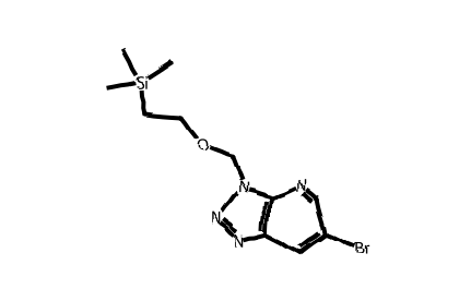 C[Si](C)(C)CCOCn1nnc2cc(Br)cnc21